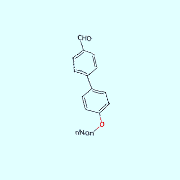 CCCCCCCCCOc1ccc(-c2ccc([C]=O)cc2)cc1